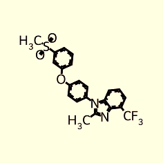 Cc1nc2c(C(F)(F)F)cccc2n1-c1ccc(Oc2cccc(S(C)(=O)=O)c2)cc1